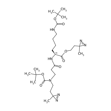 CC1(CCOC(=O)[C@H](CCCCNC(=O)OC(C)(C)C)NC(=O)CCN(CCC2(C)N=N2)C(=O)OC(C)(C)C)N=N1